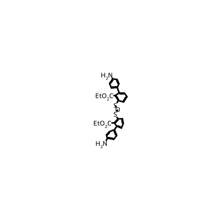 CCOC(=O)c1c(SOSc2cccc(-c3ccc(N)cc3)c2C(=O)OCC)cccc1-c1ccc(N)cc1